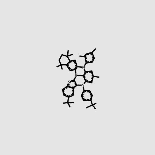 Cc1ccc(N2c3cc4c(cc3B3c5sc6ccc(C(C)(C)C)cc6c5N(c5ccc(C(C)(C)C)cc5)c5cc(C)cc2c53)C(C)(C)CCC4(C)C)c(C)c1